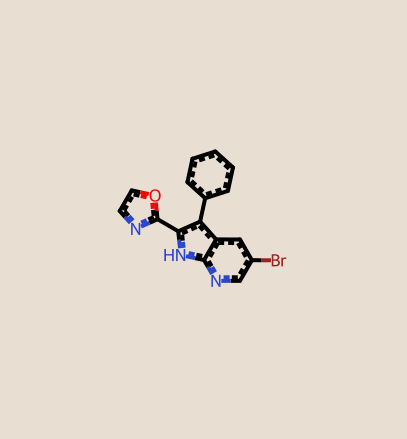 Brc1cnc2[nH]c(-c3ncco3)c(-c3ccccc3)c2c1